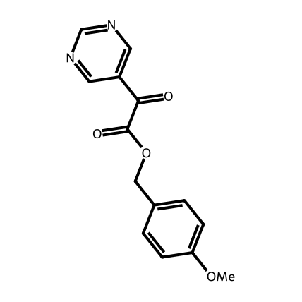 COc1ccc(COC(=O)C(=O)c2cncnc2)cc1